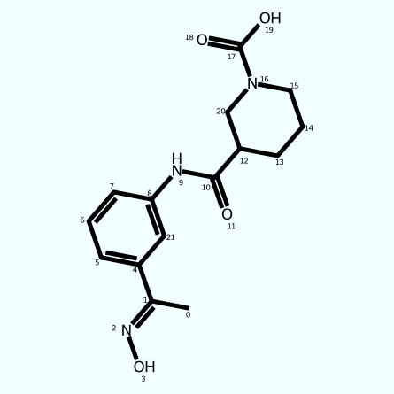 C/C(=N\O)c1cccc(NC(=O)C2CCCN(C(=O)O)C2)c1